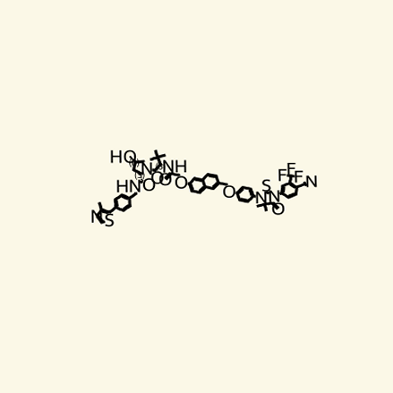 Cc1ncsc1-c1ccc(CNC(=O)[C@@H]2C[C@@H](O)CN2C(=O)[C@@H](NC(=O)COc2ccc3cc(COc4ccc(N5C(=S)N(c6ccc(C#N)c(C(F)(F)F)c6)C(=O)C5(C)C)cc4)ccc3c2)C(C)(C)C)cc1